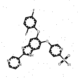 CCS(=O)(=O)c1ccc(Oc2cc3[nH]c(-c4cnccn4)nc3cc2Oc2cc(F)ccc2F)cn1